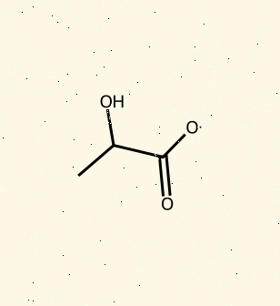 CC(O)C([O])=O